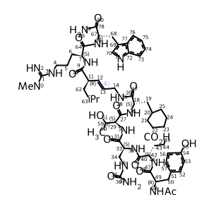 CNC(=N)NCCC[C@H](NC(=O)[C@@H](/C=C/CNC(=O)[C@H](CC1CCCCC1)NC(=O)[C@@H](NC(=O)[C@H](CNC(N)=O)NC(=O)[C@H](CCC(=O)O)NC(=O)[C@@H](Cc1ccc(O)cc1)NC(C)=O)[C@@H](C)O)CC(C)C)C(=O)N[C@@H](Cc1c[nH]c2ccccc12)C(N)=O